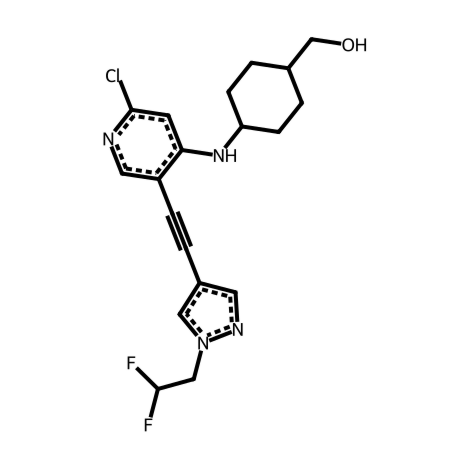 OCC1CCC(Nc2cc(Cl)ncc2C#Cc2cnn(CC(F)F)c2)CC1